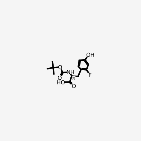 CC(C)(C)OC(=O)N[C@@H](Cc1ccc(O)cc1F)C(=O)O